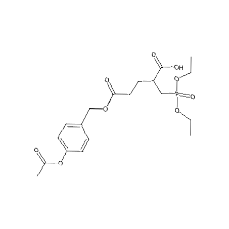 CCOP(=O)(CC(CCC(=O)OCc1ccc(OC(C)=O)cc1)C(=O)O)OCC